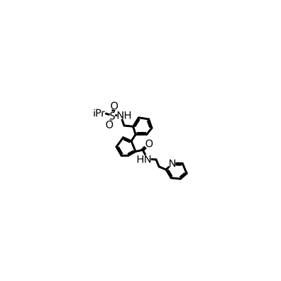 CC(C)S(=O)(=O)NCc1ccccc1-c1ccccc1C(=O)NCCc1ccccn1